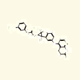 O=C1CCc2c(Oc3ccc4c(c3)[C@@H]3[C@@H](NC(=O)Nc5cccc(C(F)(F)F)c5)[C@@H]3O4)ccnc2N1